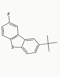 CC(C)(C)c1ccc2sc3ccc(F)cc3c2c1